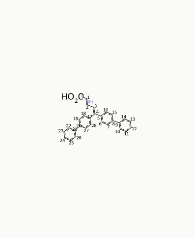 O=C(O)/C=C/C=C(c1ccc(-c2ccccc2)cc1)c1ccc(-c2ccccc2)cc1